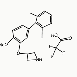 COc1ccc(-c2c(C)cccc2C)cc1OC1CNC1.O=C(O)C(F)(F)F